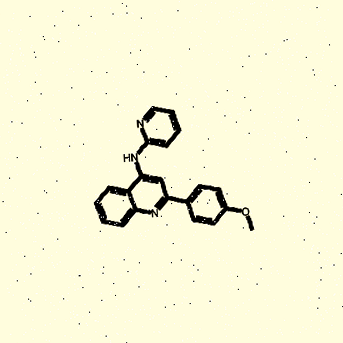 COc1ccc(-c2cc(Nc3ccccn3)c3ccccc3n2)cc1